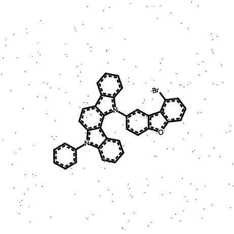 Brc1cccc2oc3ccc(-n4c5ccccc5c5ccc6c(c7ccccc7n6-c6ccccc6)c54)cc3c12